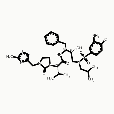 Cc1nc(CN2CCN([C@H](C(=O)N[C@@H](Cc3ccccc3)[C@H](O)CN(CC(C)C)S(=O)(=O)c3ccc(Cl)c(N)c3)C(C)C)C2=O)cs1